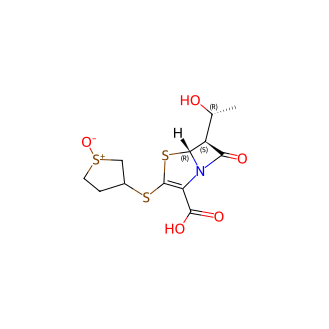 C[C@@H](O)[C@H]1C(=O)N2C(C(=O)O)=C(SC3CC[S+]([O-])C3)S[C@H]12